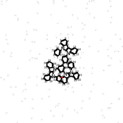 c1ccc(-n2c3ccccc3c3c4ccccc4n(-c4ccc(-c5cc(-n6c7ccccc7c7c8ccccc8n(-c8ccccc8)c76)cc(-n6c7ccccc7c7c8ccccc8n(-c8ccccc8)c76)c5)cc4)c32)cc1